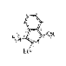 CCc1cc(C#N)c2ccccc2c1N